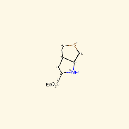 CCOC(=O)C1CC2CSCC2N1